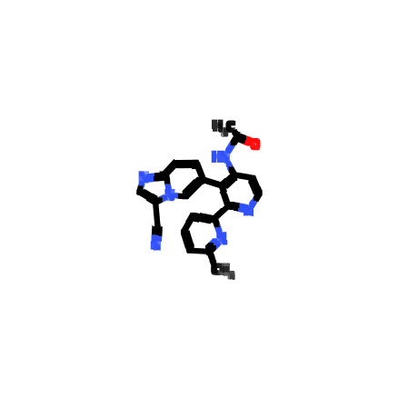 CC(=O)Nc1ccnc(-c2cccc(C)n2)c1-c1ccc2ncc(C#N)n2c1